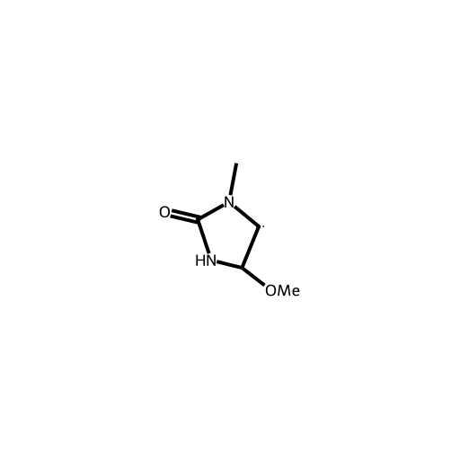 COC1[CH]N(C)C(=O)N1